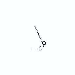 CCCCCCCCCCCOc1cccc(CN2CCN(CC)CC2)c1